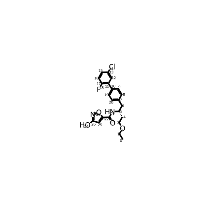 CCOCC[C@@H](Cc1ccc(-c2cc(Cl)ccc2F)cc1)NC(=O)c1cc(O)no1